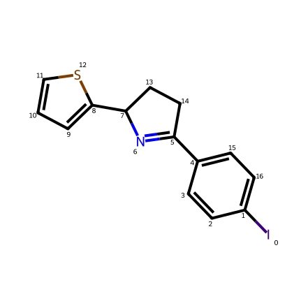 Ic1ccc(C2=NC(c3cccs3)CC2)cc1